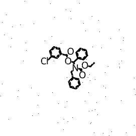 CCOC(=O)N(Cc1ccccc1)C(OC(=O)c1cccc(Cl)c1)c1ccccc1